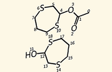 CC(=O)OC1CSCCCS1.OC1CSCCCS1